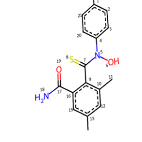 Cc1ccc(N(O)C(=S)c2c(C)cc(C)cc2C(N)=O)cc1